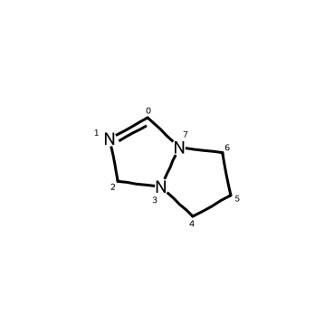 C1=NCN2CCCN12